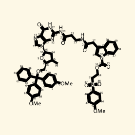 COc1ccc(C(OC[C@H]2O[C@@H](n3cnc4c(=O)[nH]c(NC(=O)CCNC(=O)Cc5cn(C(=O)OCCS(=O)(=O)c6ccc(OC)cc6)c6ccccc56)nc43)CC2C)(c2ccccc2)c2ccc(OC)cc2)cc1